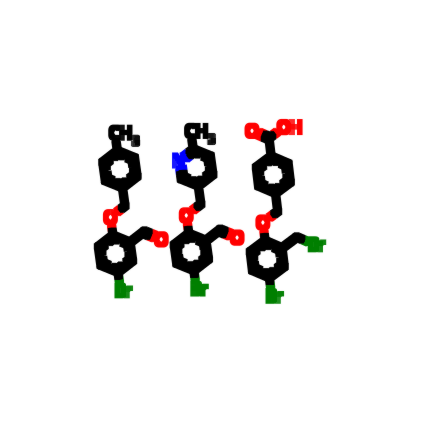 Cc1ccc(COc2ccc(Br)cc2C=O)cc1.Cc1ccc(COc2ccc(Br)cc2C=O)cn1.O=C(O)c1ccc(COc2ccc(Br)cc2CBr)cc1